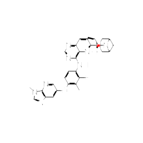 C=CC(=O)N1C2CC1CN(c1ccc3ncnc(Nc4ccc(Oc5cnc6c(c5)ncn6C)c(C)c4F)c3n1)C2